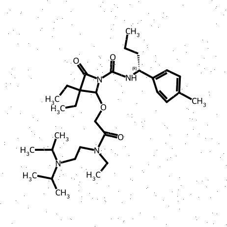 CCC[C@@H](NC(=O)N1C(=O)C(CC)(CC)C1OCC(=O)N(CC)CCN(C(C)C)C(C)C)c1ccc(C)cc1